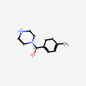 CC1=CC=C([C@@H](O)N2CCNCC2)CC1